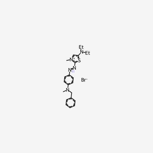 CCN(CC)c1c[n+](C)c(/N=N/c2ccc(N(C)Cc3ccccc3)cc2)s1.[Br-]